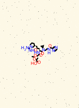 CC(=O)O[C@@H](CCC(=O)O)C(=O)N[C@@H](CC(=O)C[C@@H]1CCCN(C(=N)N)C1)C(=O)N(CCNC(=O)c1cnccn1)C1CC1